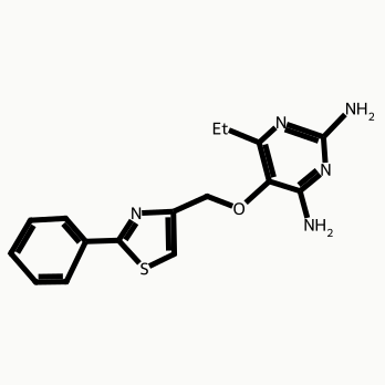 CCc1nc(N)nc(N)c1OCc1csc(-c2ccccc2)n1